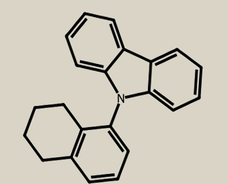 c1cc2c(c(-n3c4ccccc4c4ccccc43)c1)CCCC2